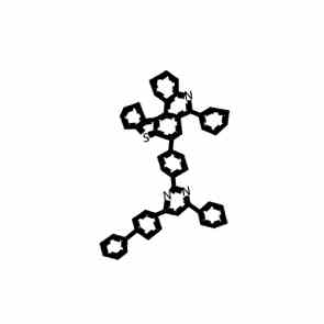 c1ccc(-c2ccc(-c3cc(-c4ccccc4)nc(-c4ccc(-c5cc6c(-c7ccccc7)nc7ccccc7c6c6c5sc5ccccc56)cc4)n3)cc2)cc1